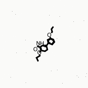 CCCOC1=C(C(N)=O)C=C(c2cccc(OCCC)c2)CC1